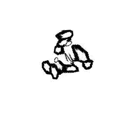 c1ccc2c(N(c3cccc4c3oc3ccccc34)c3cccc4c3oc3c5ccccc5ccc43)cccc2c1